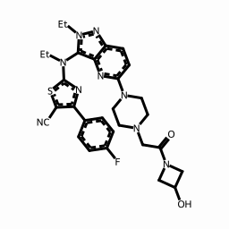 CCN(c1nc(-c2ccc(F)cc2)c(C#N)s1)c1c2nc(N3CCN(CC(=O)N4CC(O)C4)CC3)ccc2nn1CC